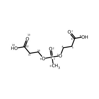 CP(=O)(OCCC(=O)O)OCCC(=O)O